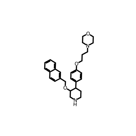 c1ccc2cc(COC3CNCCC3c3ccc(OCCCN4CCOCC4)cc3)ccc2c1